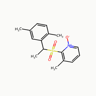 Cc1ccc(C)c(C(C)S(=O)(=O)c2c(C)ccc[n+]2[O-])c1